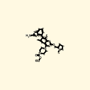 Cc1cc2c(N3CCN(C(=O)OC(C)(C)C)CC3)nc(OCC3CCCN3C)nc2c(F)c1-c1cccc2sc(N)nc12